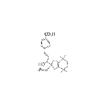 CCCCCC1(C(O)C=Cc2ccc(C(=O)O)cc2)CC2=C(C1)C(C)(C)CCC2(C)C